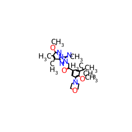 CCOc1nn2/c(=N/C)n(CC(=O)c3cc(N4CCOCC4)c(OC)c(C(C)(C)C)c3)nc2c(C)c1C